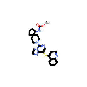 CC(C)(C)OC(=O)N[C@@H]1CCCC12CCN(c1ncc(Sc3ccnc4ccccc34)c3nccn13)CC2